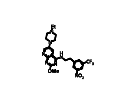 CCN1CCN(c2cnc3nc(OC)nc(NCCc4cc([N+](=O)[O-])cc(C(F)(F)F)c4)c3c2)CC1